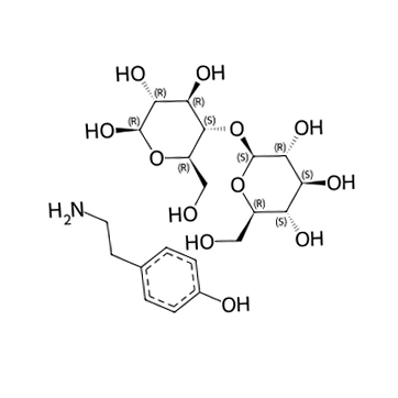 NCCc1ccc(O)cc1.OC[C@H]1O[C@@H](O[C@H]2[C@H](O)[C@@H](O)[C@H](O)O[C@@H]2CO)[C@H](O)[C@@H](O)[C@@H]1O